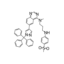 CN(CCCNc1ccc(S(C)(=O)=O)cc1)c1ncnc2ccc(-c3cnn(C(c4ccccc4)(c4ccccc4)c4ccccc4)c3)cc12